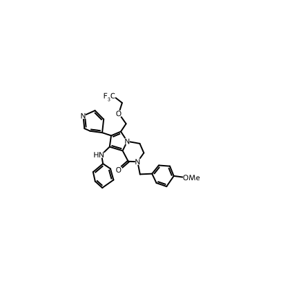 COc1ccc(CN2CCn3c(COCC(F)(F)F)c(-c4ccncc4)c(Nc4ccccc4)c3C2=O)cc1